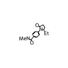 CCC1CCC(=O)N1c1ccc(C(=O)NC)cc1